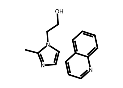 Cc1nccn1CCO.c1ccc2ncccc2c1